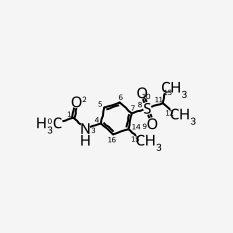 CC(=O)Nc1ccc(S(=O)(=O)C(C)C)c(C)c1